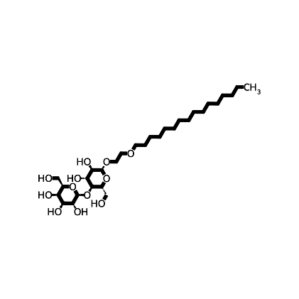 CCCCCCCCCCCCCCCCOCCO[C@@H]1O[C@H](CO)[C@@H](O[C@@H]2O[C@H](CO)[C@H](O)[C@H](O)[C@H]2O)[C@H](O)[C@H]1O